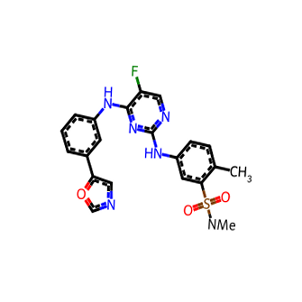 CNS(=O)(=O)c1cc(Nc2ncc(F)c(Nc3cccc(-c4cnco4)c3)n2)ccc1C